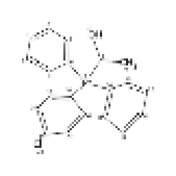 CC(O)[P+](c1ccccc1)(c1ccccc1)c1ccccc1.[Cl-]